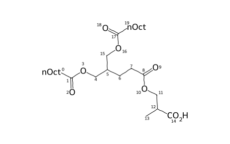 CCCCCCCCC(=O)OCC(CCC(=O)OCC(C)C(=O)O)COC(=O)CCCCCCCC